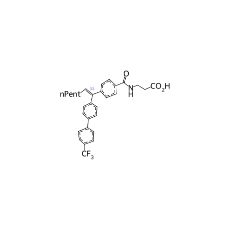 CCCCC/C=C(/c1ccc(C(=O)NCCC(=O)O)cc1)c1ccc(-c2ccc(C(F)(F)F)cc2)cc1